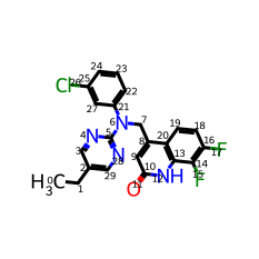 CCc1cnc(N(Cc2cc(=O)[nH]c3c(F)c(F)ccc23)c2cccc(Cl)c2)nc1